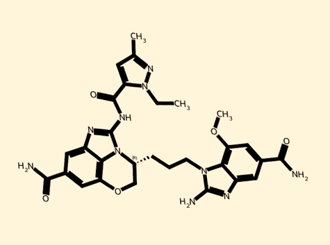 CCn1nc(C)cc1C(=O)Nc1nc2cc(C(N)=O)cc3c2n1[C@H](CCCn1c(N)nc2cc(C(N)=O)cc(OC)c21)CO3